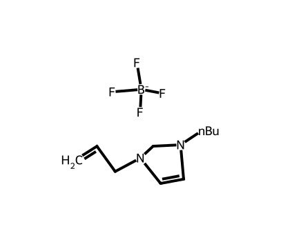 C=CCN1C=CN(CCCC)C1.F[B-](F)(F)F